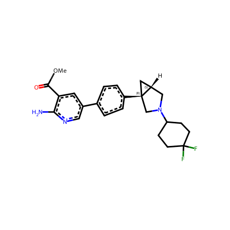 COC(=O)c1cc(-c2ccc([C@@]34C[C@@H]3CN(C3CCC(F)(F)CC3)C4)cc2)cnc1N